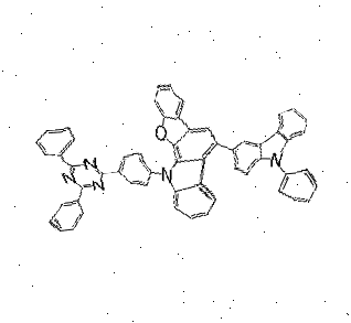 c1ccc(-c2nc(-c3ccccc3)nc(-c3ccc(-n4c5ccccc5c5c(-c6ccc7c(c6)c6ccccc6n7-c6ccccc6)cc6c7ccccc7oc6c54)cc3)n2)cc1